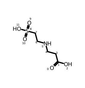 O=C(O)CCNCCS(=O)(=O)O